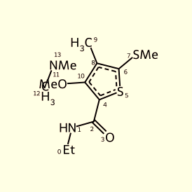 CCNC(=O)c1sc(SC)c(C)c1OC.CNC